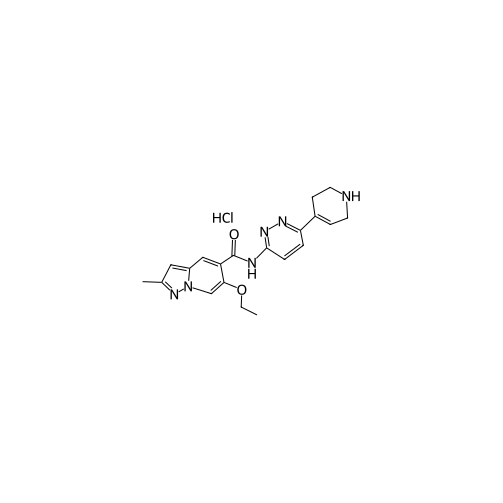 CCOc1cn2nc(C)cc2cc1C(=O)Nc1ccc(C2=CCNCC2)nn1.Cl